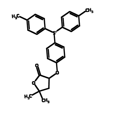 Cc1ccc([S+](c2ccc(C)cc2)c2ccc(OC3CC(C)(C)OC3=O)cc2)cc1